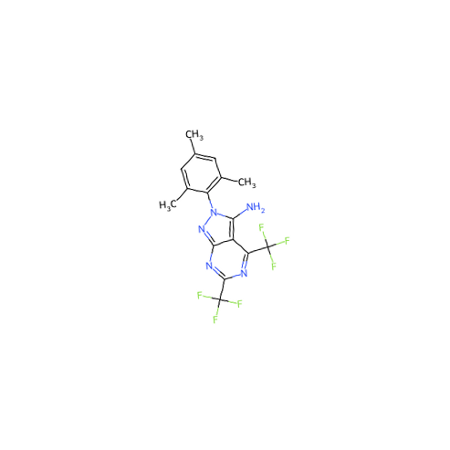 Cc1cc(C)c(-n2nc3nc(C(F)(F)F)nc(C(F)(F)F)c3c2N)c(C)c1